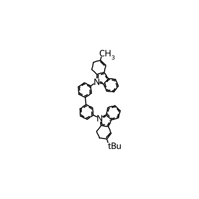 CC1=Cc2c(n(-c3cccc(-c4cccc(-n5c6c(c7ccccc75)C=C(C(C)(C)C)CC6)c4)c3)c3ccccc23)CC1